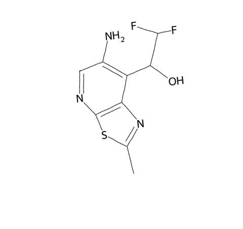 Cc1nc2c(C(O)C(F)F)c(N)cnc2s1